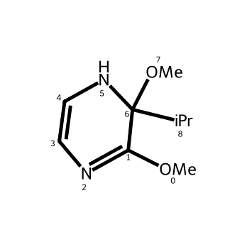 COC1=NC=CNC1(OC)C(C)C